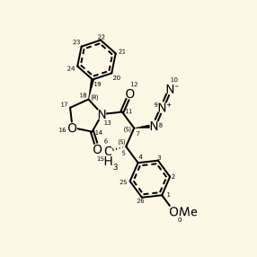 COc1ccc([C@H](C)[C@H](N=[N+]=[N-])C(=O)N2C(=O)OC[C@H]2c2ccccc2)cc1